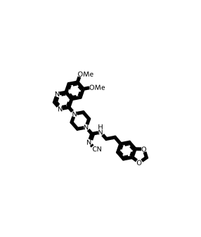 COc1cc2ncnc(N3CCN(/C(=N/C#N)NCCc4ccc5c(c4)OCO5)CC3)c2cc1OC